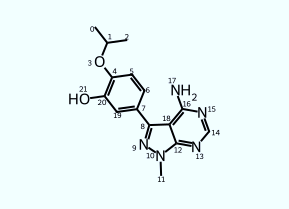 CC(C)Oc1ccc(-c2nn(C)c3ncnc(N)c23)cc1O